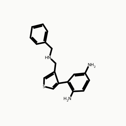 Nc1ccc(N)c(-c2cscc2CNCc2ccccc2)c1